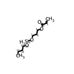 C=CC(=O)OCCCO[SiH2]OCCCC